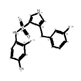 N#Cc1ccc(NS(=O)(=O)c2c[nH]cc2Cc2cccc(F)c2)c(F)c1